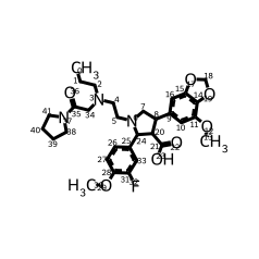 CCCN(CCN1CC(c2cc(OC)c3c(c2)OCO3)C(C(=O)O)C1c1ccc(OC)c(F)c1)CC(=O)N1CCCC1